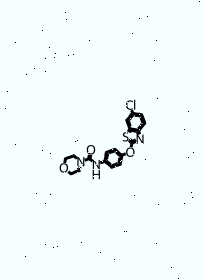 O=C(Nc1ccc(Oc2nc3ccc(Cl)cc3s2)cc1)N1CCOCC1